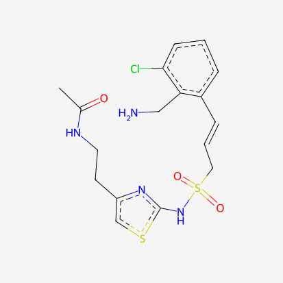 CC(=O)NCCc1csc(NS(=O)(=O)CC=Cc2cccc(Cl)c2CN)n1